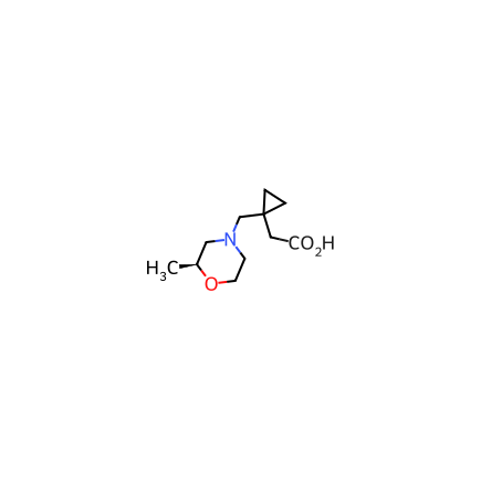 C[C@H]1CN(CC2(CC(=O)O)CC2)CCO1